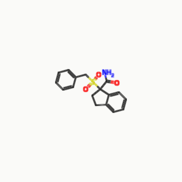 NC(=O)C1(S(=O)(=O)Cc2ccccc2)CCc2ccccc21